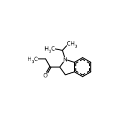 CCC(=O)C1Cc2ccccc2N1C(C)C